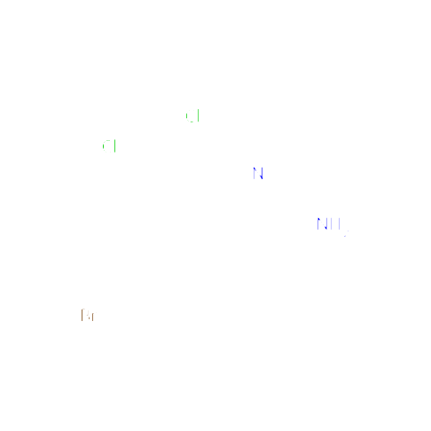 ClCCl.Nc1cc2cc(Br)ccc2cn1